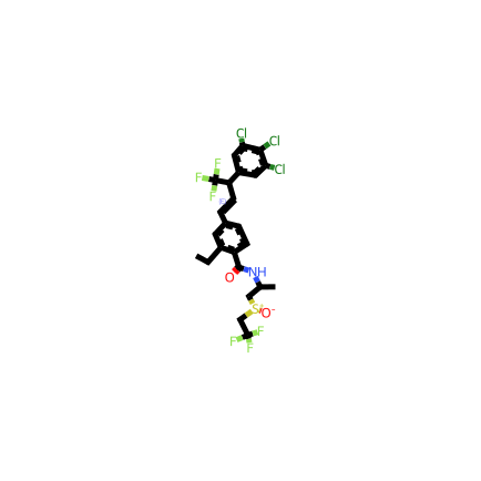 CCc1cc(/C=C/C(c2cc(Cl)c(Cl)c(Cl)c2)C(F)(F)F)ccc1C(=O)NC(C)C[S+]([O-])CC(F)(F)F